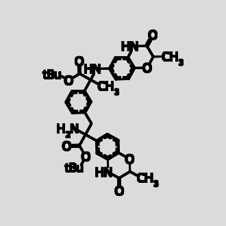 CC1Oc2ccc(NC(C)(C(=O)OC(C)(C)C)c3cccc(CC(N)(C(=O)OC(C)(C)C)c4ccc5c(c4)NC(=O)C(C)O5)c3)cc2NC1=O